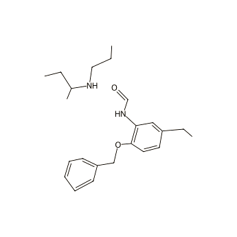 CCCNC(C)CC.CCc1ccc(OCc2ccccc2)c(NC=O)c1